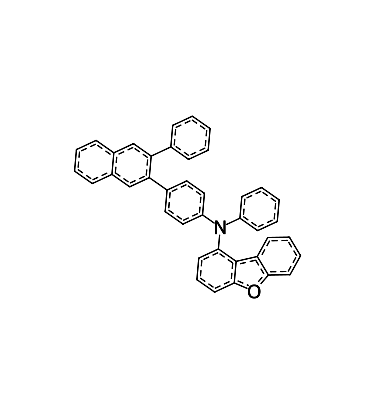 c1ccc(-c2cc3ccccc3cc2-c2ccc(N(c3ccccc3)c3cccc4oc5ccccc5c34)cc2)cc1